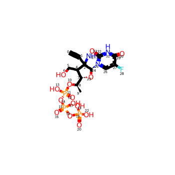 C#CC1(N)C(CO)[C@@H]([C@@H](C)OP(=O)(O)OP(=O)(O)OP(=O)(O)O)O[C@H]1n1cc(F)c(=O)[nH]c1=O